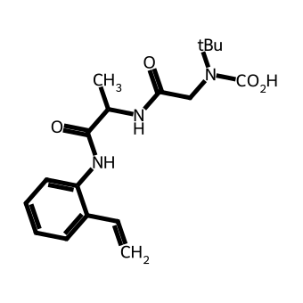 C=Cc1ccccc1NC(=O)C(C)NC(=O)CN(C(=O)O)C(C)(C)C